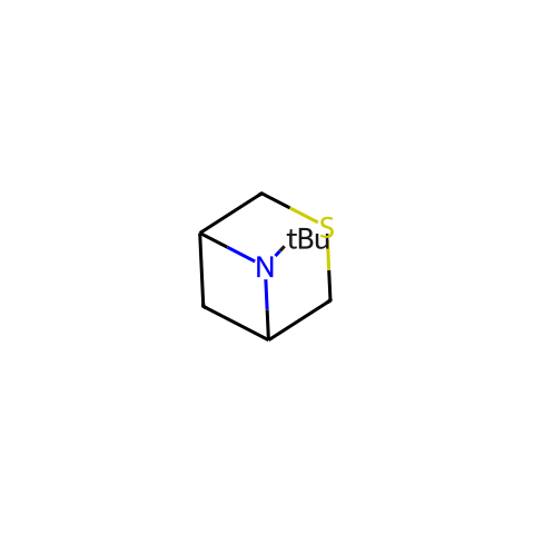 CC(C)(C)N1C2CSCC1C2